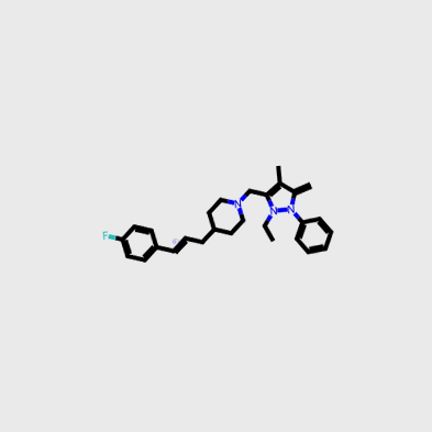 C=C1C(C)=C(CN2CCC(C/C=C/c3ccc(F)cc3)CC2)N(CC)N1c1ccccc1